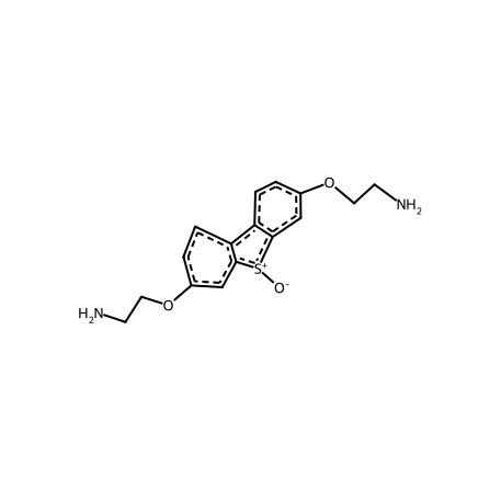 NCCOc1ccc2c3ccc(OCCN)cc3[s+]([O-])c2c1